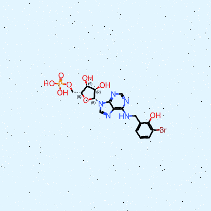 O=P(O)(O)OC[C@H]1O[C@@H](n2cnc3c(NCc4cccc(Br)c4O)ncnc32)[C@H](O)[C@@H]1O